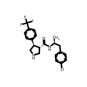 C[C@@H](Cc1ccc(Cl)cc1)NC(=O)[C@@H]1CNC[C@H]1c1ccc(C(F)(F)F)cc1